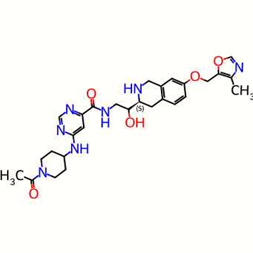 CC(=O)N1CCC(Nc2cc(C(=O)NCC(O)[C@@H]3Cc4ccc(OCc5ocnc5C)cc4CN3)ncn2)CC1